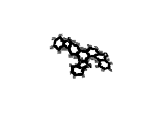 c1ccc2c(c1)nc1c3c(ccc4oc5ccccc5c43)c3cc4sc5ccccc5c4cc3n21